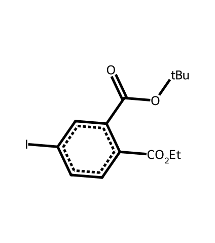 CCOC(=O)c1ccc(I)cc1C(=O)OC(C)(C)C